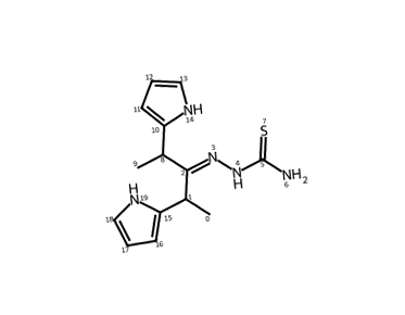 CC(C(=NNC(N)=S)C(C)c1ccc[nH]1)c1ccc[nH]1